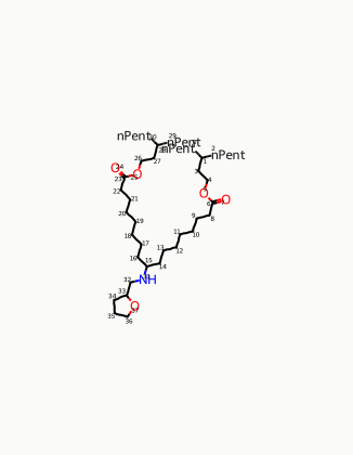 CCCCCC(CCCCC)CCOC(=O)CCCCCCCC(CCCCCCCC(=O)OCCC(CCCCC)CCCCC)NCC1CCCO1